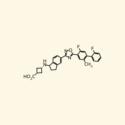 Cc1cc(-c2nc(-c3ccc4c(c3)CCC4N[C@H]3C[C@H](C(=O)O)C3)no2)c(F)cc1-c1ccccc1F